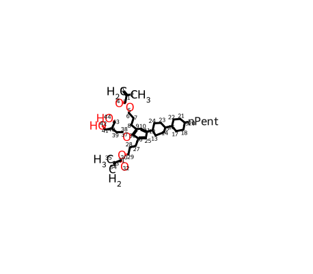 C=C(C)C(=O)OCCCc1cc(C2CCC(C3CCC(CCCCC)CC3)CC2)cc(CCCOC(=O)C(=C)C)c1OCCC(CO)CO